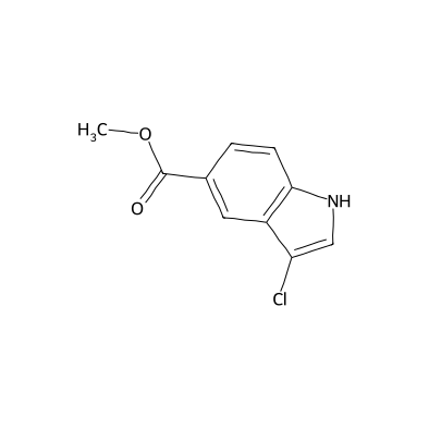 COC(=O)c1ccc2[nH]cc(Cl)c2c1